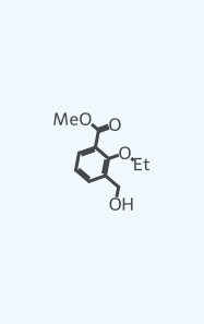 CCOc1c(CO)cccc1C(=O)OC